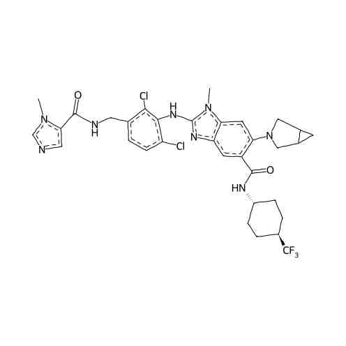 Cn1cncc1C(=O)NCc1ccc(Cl)c(Nc2nc3cc(C(=O)N[C@H]4CC[C@H](C(F)(F)F)CC4)c(N4CC5CC5C4)cc3n2C)c1Cl